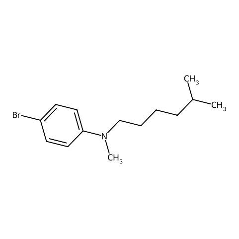 CC(C)CCCCN(C)c1ccc(Br)cc1